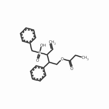 C=CC(C(COC(=O)CC)c1ccccc1)P(=O)(O)Cc1ccccc1